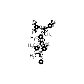 Cc1cc(SC(C)c2sc(-c3ccc(C(F)(F)F)cc3)nc2COc2cc(C(F)(F)F)cc(C(F)(F)F)c2)ccc1OC(C(=O)O)C(Oc1ccc(SC(C)c2sc(-c3ccc(C(F)(F)F)cc3)nc2CSc2ccccc2)cc1C)C(=O)O